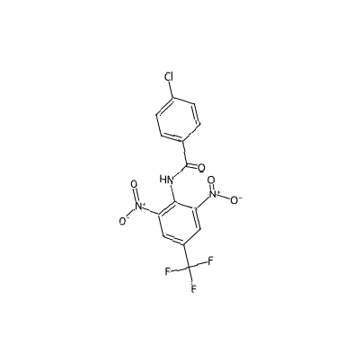 O=C(Nc1c([N+](=O)[O-])cc(C(F)(F)F)cc1[N+](=O)[O-])c1ccc(Cl)cc1